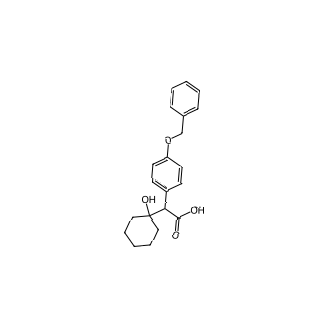 O=C(O)C(c1ccc(OCc2ccccc2)cc1)C1(O)CCCCC1